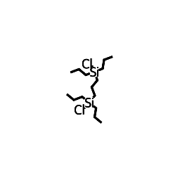 CCC[Si](Cl)(CCC)CCC[Si](Cl)(CCC)CCC